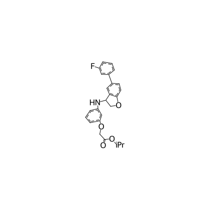 CC(C)OC(=O)COc1cccc(NC2COc3ccc(-c4cccc(F)c4)cc32)c1